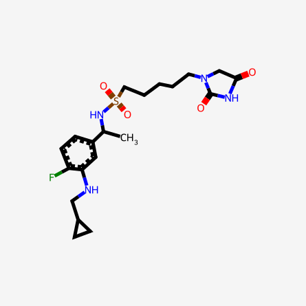 CC(NS(=O)(=O)CCCCCN1CC(=O)NC1=O)c1ccc(F)c(NCC2CC2)c1